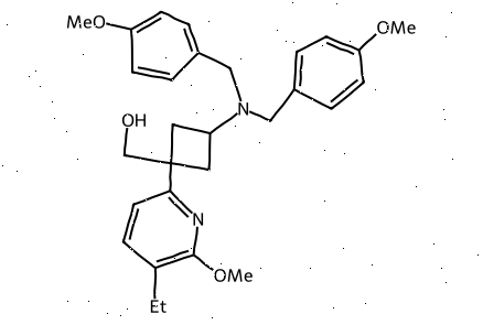 CCc1ccc(C2(CO)CC(N(Cc3ccc(OC)cc3)Cc3ccc(OC)cc3)C2)nc1OC